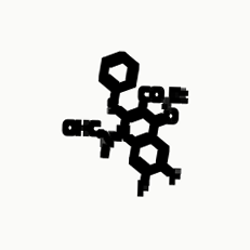 CCOC(=O)c1c(Sc2ccccc2)n(N(C)C=O)c2cc(F)c(F)cc2c1=O